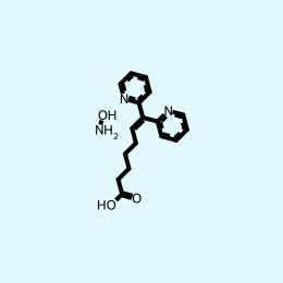 NO.O=C(O)CCCCC=C(c1ccccn1)c1ccccn1